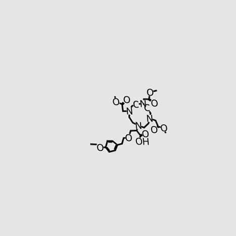 CCOc1ccc(CCOCC(C(=O)O)N2CCN(CC(=O)OC)CCN(CC(=O)OC)CCN(CC(=O)OC)CC2)cc1